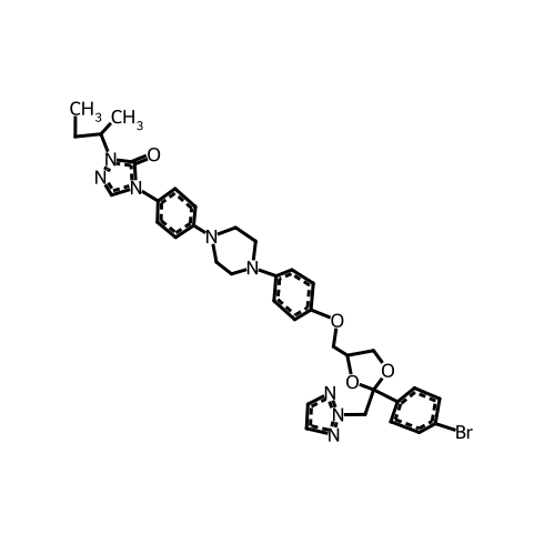 CCC(C)n1ncn(-c2ccc(N3CCN(c4ccc(OCC5COC(Cn6nccn6)(c6ccc(Br)cc6)O5)cc4)CC3)cc2)c1=O